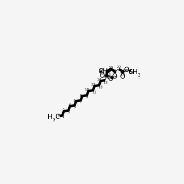 CCCCCCCCCCCCCCCC[C@]1(OC)C=C[C@H](CC(=O)OC)OO1